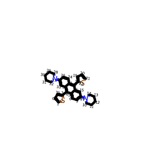 c1csc(-c2c3ccc(N4CCCCC4)cc3c(-c3cccs3)c3ccc(N4CCCCC4)cc23)c1